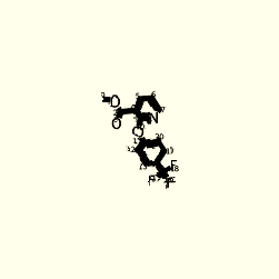 COC(=O)c1cccnc1Oc1ccc(C(F)(F)F)cc1